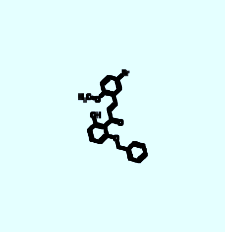 COc1ccc(Br)cc1/C=C/C(=O)c1c(O)cccc1OCc1ccccc1